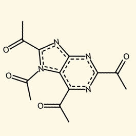 CC(=O)c1nc(C(C)=O)c2c(n1)nc(C(C)=O)n2C(C)=O